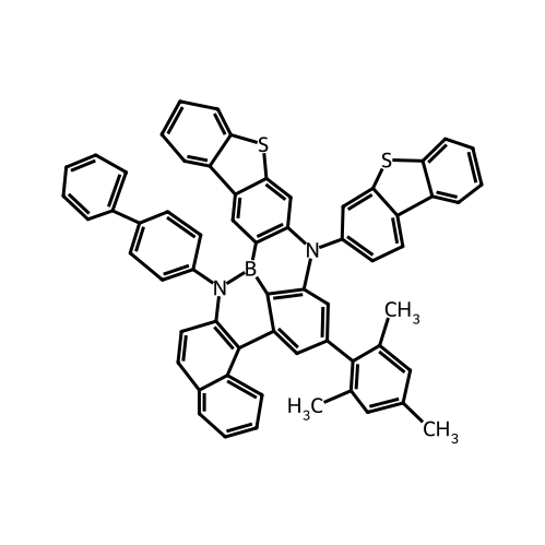 Cc1cc(C)c(-c2cc3c4c(c2)N(c2ccc5c(c2)sc2ccccc25)c2cc5sc6ccccc6c5cc2B4N(c2ccc(-c4ccccc4)cc2)c2ccc4ccccc4c2-3)c(C)c1